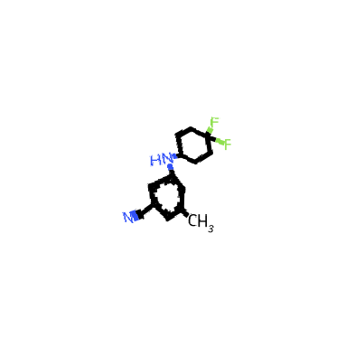 Cc1cc(C#N)cc(NC2CCC(F)(F)CC2)c1